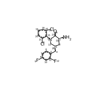 N[C@H]1C[C@@H](Cc2ccc(F)cc2F)CN(c2c(Cl)cccc2Cl)C1=O